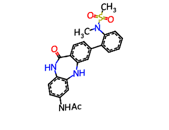 CC(=O)Nc1ccc2c(c1)Nc1cc(-c3ccccc3N(C)S(C)(=O)=O)ccc1C(=O)N2